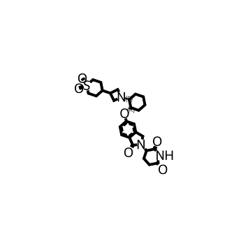 O=C1CCC(N2Cc3cc(O[C@@H]4CCCC[C@@H]4N4CC(C5CCS(=O)(=O)CC5)C4)ccc3C2=O)C(=O)N1